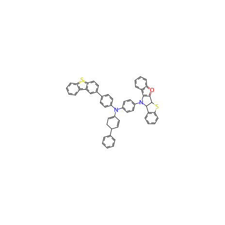 C1=CC(c2ccccc2)CC=C1N(c1ccc(-c2ccc3sc4ccccc4c3c2)cc1)c1ccc(N2c3c(oc4ccccc34)C3Sc4ccccc4C32)cc1